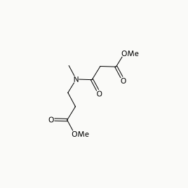 COC(=O)CCN(C)C(=O)CC(=O)OC